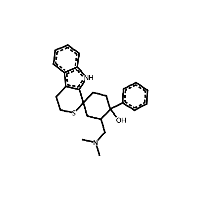 CN(C)CC1CC2(CCC1(O)c1ccccc1)SCCc1c2[nH]c2ccccc12